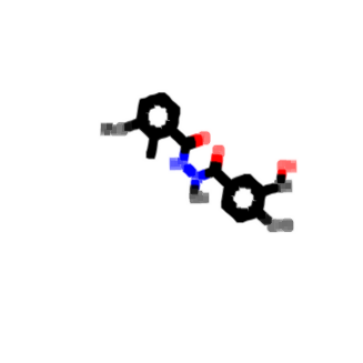 COc1cccc(C(=O)NN(C(=O)c2ccc(C=O)c(BO)c2)C(C)(C)C)c1C